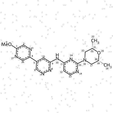 COc1cnc(-c2cnnc(Nc3ccnc(N4C[C@@H](C)O[C@@H](C)C4)n3)c2)cn1